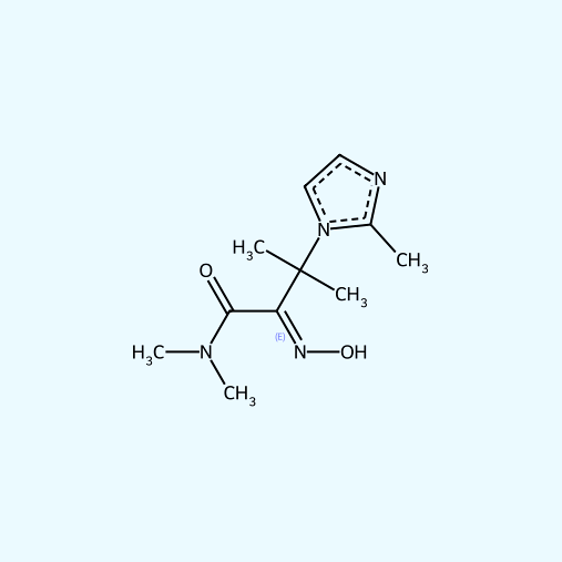 Cc1nccn1C(C)(C)/C(=N\O)C(=O)N(C)C